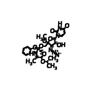 CO[C@]1(COP(=S)(N[C@H](C)C(=O)OC(C)C)Oc2ccccc2)O[C@@H](n2ccc(=O)[nH]c2=O)[C@H](O)[C@@H]1N=[N+]=[N-]